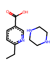 C1CNCCN1.CCc1ccc(C(=O)O)cn1